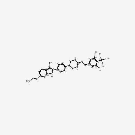 CCOc1ccc2c(F)c(-c3ccc(C4COC(CCc5cc(F)c(C(F)(F)F)c(F)c5)OC4)cc3)sc2c1